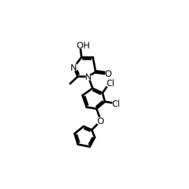 Cc1nc(O)cc(=O)n1-c1ccc(Oc2ccccc2)c(Cl)c1Cl